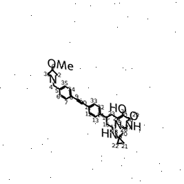 COC1CN(Cc2ccc(C#Cc3ccc(C(CCNC4(C)CC4)Cc4nc[nH]c(=O)c4O)cc3)cc2)C1